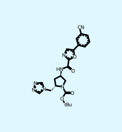 CC(C)(C)OC(=O)N1C[C@H](NC(=O)c2ncc(-c3cccc(C#N)c3)o2)C[C@H]1Cn1cnnc1